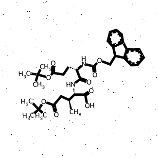 C[C@@H](CC(=O)OC(C)(C)C)[C@H](NC(=O)[C@H](CCC(=O)OC(C)(C)C)NC(=O)OCC1c2ccccc2-c2ccccc21)C(=O)O